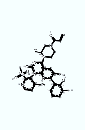 C=CC(=O)N1CCN(c2nc(=O)n(-c3c(C(C)C)ccnc3S(C)(=O)=O)c3nc(-c4cccc(F)c4Cl)c(F)cc23)[C@@H](C)C1